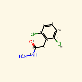 NNC(=O)Cc1c(Cl)cccc1Cl